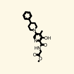 COC(=O)CNC(=O)c1ncc(N2CCC(c3ccccc3)CC2)c(C)c1O